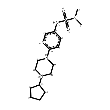 CN(C)S(=O)(=O)Nc1ccc(N2CCN(C3CCCC3)CC2)nc1